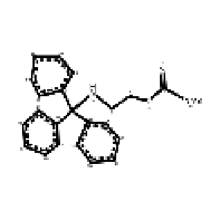 CNC(=S)SCCNC(c1ccccc1)(c1ccccc1)c1ccccc1